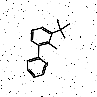 Cc1c(-c2ccccn2)cccc1C(C)(C)C